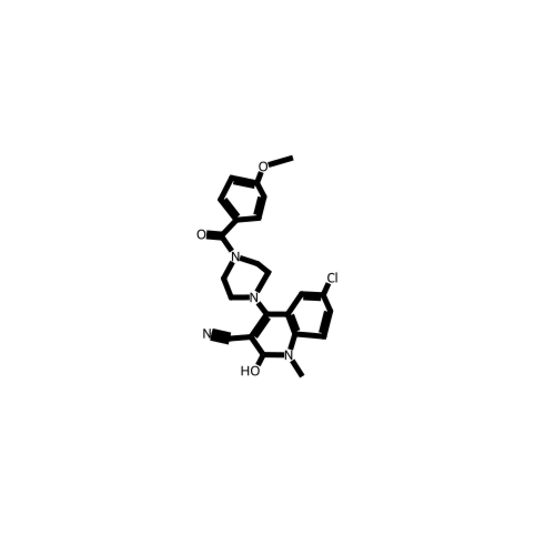 COc1ccc(C(=O)N2CCN(C3=C(C#N)C(O)N(C)c4ccc(Cl)cc43)CC2)cc1